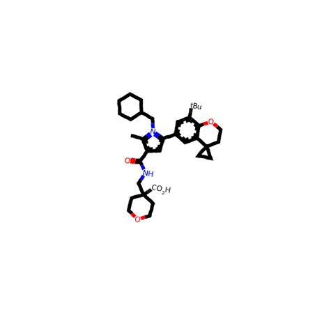 Cc1c(C(=O)NCC2(C(=O)O)CCOCC2)cc(-c2cc(C(C)(C)C)c3c(c2)C2(CCO3)CC2)n1CC1CCCCC1